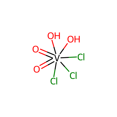 [O]=[V](=[O])([OH])([OH])([Cl])([Cl])[Cl]